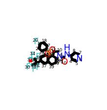 O=C(Nc1ccncc1)N1CC[C@@]2(S(=O)(=O)c3ccc(F)cc3)c3ccc(C(F)(C(F)(F)F)C(F)(F)F)cc3CC[C@@H]12